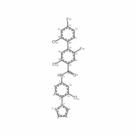 O=C(Nc1cnc(-n2cccn2)c(Cl)c1)c1cc(F)c(-c2ccc(F)cc2Cl)cc1Cl